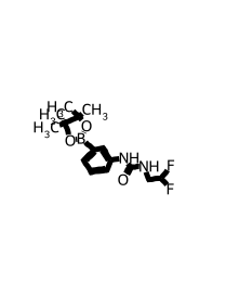 CC1(C)OB(c2cccc(NC(=O)NCC(F)F)c2)OC1(C)C